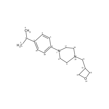 CC(C)c1ccc(N2CCN(CC3COC3)CC2)cc1